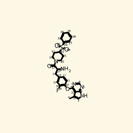 Cc1c[nH]c2ncnc(Oc3ccc(CC(N)C(=O)N4CCC(S(=O)(=O)c5ccccc5)CC4)cc3F)c12